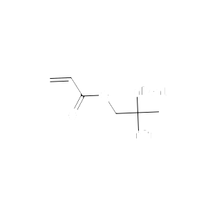 C=CC(=O)OCC(C)(CCC)CCCCC